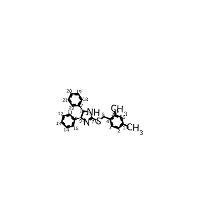 Cc1ccc(CSC2=N[C@@H](c3ccccc3)[C@@H](c3ccccc3)N2)c(C)c1